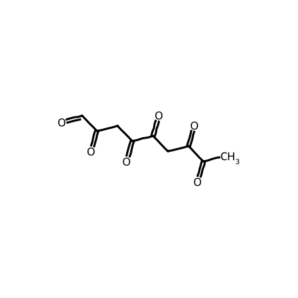 CC(=O)C(=O)CC(=O)C(=O)CC(=O)C=O